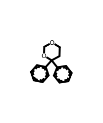 c1ccc(C2(c3ccccc3)CCOCO2)cc1